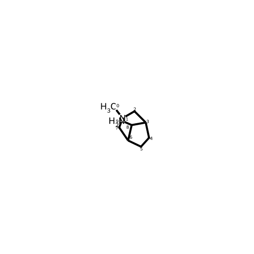 CN1CC2CCC(C1)C2N